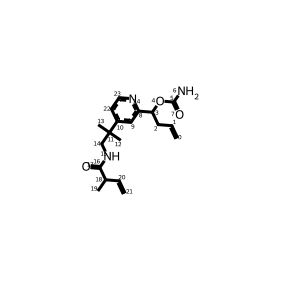 C=CCC(OC(N)=O)c1cc(C(C)(C)CNC(=O)C(C)C=C)ccn1